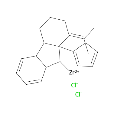 CC(C)=C1CCCC2C3C=CC=CC3[CH]([Zr+2])C12C1=CC=CC1.[Cl-].[Cl-]